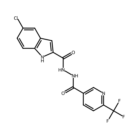 O=C(NNC(=O)c1cc2cc(Cl)ccc2[nH]1)c1ccc(C(F)(F)F)nc1